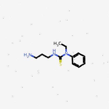 CCN(C(=S)NCCCN)c1ccccc1